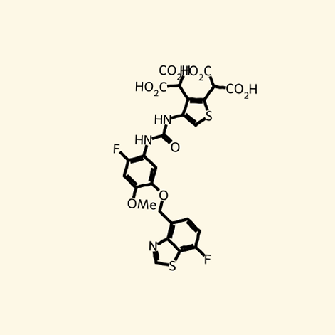 COc1cc(F)c(NC(=O)Nc2csc(C(C(=O)O)C(=O)O)c2C(C(=O)O)C(=O)O)cc1OCc1ccc(F)c2scnc12